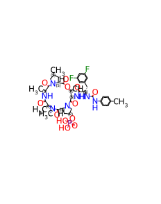 Cc1ccc(NC(=O)N[C@@H](Cc2cc(F)cc(F)c2)C(=O)N[C@@H]2C(=O)N3C[C@H](OP(=O)(O)O)C[C@H]3C(=O)N(C)[C@@H](C)C(=O)N[C@@H](C)C(=O)N3C[C@@H](C)C[C@H]3C(=O)O[C@H]2C)cc1